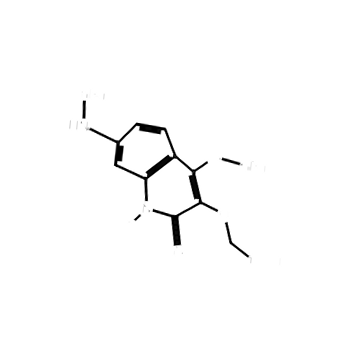 CCCCNc1ccc2c(OCCCC)c(OCC(C)CCC)c(=O)n(C)c2c1